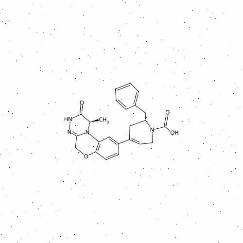 C[C@@H]1C(=O)NN=C2COc3ccc(C4=CCN(C(=O)O)C(Cc5ccccc5)C4)cc3N21